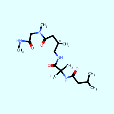 CNC(=O)CN(C)C(=O)C[C@@H](C)CNC(=O)C(C)(C)NC(=O)CC(C)C